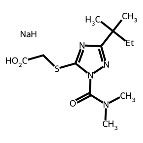 CCC(C)(C)c1nc(SCC(=O)O)n(C(=O)N(C)C)n1.[NaH]